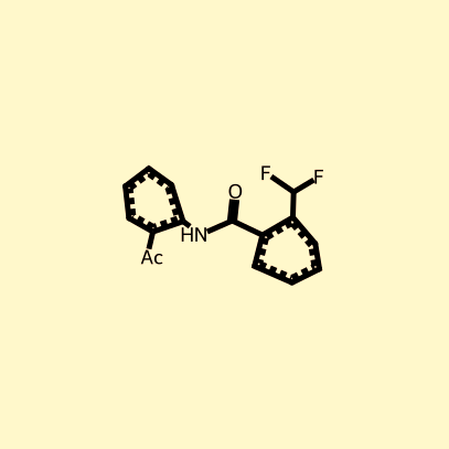 CC(=O)c1ccccc1NC(=O)c1ccccc1C(F)F